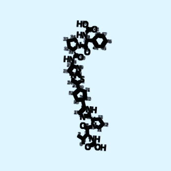 CC(C)[C@H](NC(=O)O)C(=O)N1CCC[C@H]1c1ncc(-c2ccc(-c3cn4cc(NC(=O)[C@@H]5CCCN5C(=O)[C@H](NC(=O)O)c5ccccc5)nc4s3)cc2)[nH]1